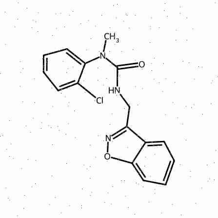 CN(C(=O)NCc1noc2ccccc12)c1ccccc1Cl